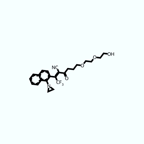 N#C/C(C(=O)CCCOCCOCCO)=C(\c1ccc2ccccc2c1N1CC1)C(F)(F)F